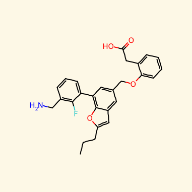 CCCc1cc2cc(COc3ccccc3CC(=O)O)cc(-c3cccc(CN)c3F)c2o1